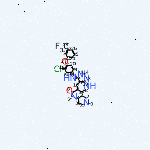 CN1CCC(N(C)C(=O)C2=Cc3c(ncnc3Nc3ccc(Oc4cccc(C(F)(F)F)c4)c(Cl)c3)NCC2)CC1